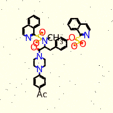 CC(=O)c1ccc(N2CCN(C(=O)C(Cc3ccc(OS(=O)(=O)c4nccc5ccccc45)cc3)N(C)S(=O)(=O)c3nccc4ccccc34)CC2)cc1